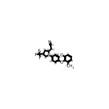 Cc1cccc(C)c1Oc1ccc(N2CC(C(F)(F)F)CC2CC#N)cc1